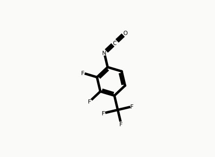 O=C=Nc1ccc(C(F)(F)F)c(F)c1F